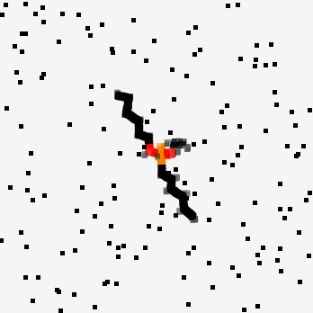 CCCCCCO[PH](=O)CCCCCC.[AlH3]